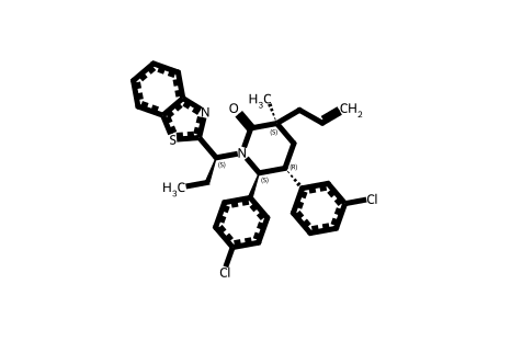 C=CC[C@@]1(C)C[C@H](c2cccc(Cl)c2)[C@@H](c2ccc(Cl)cc2)N([C@@H](CC)c2nc3ccccc3s2)C1=O